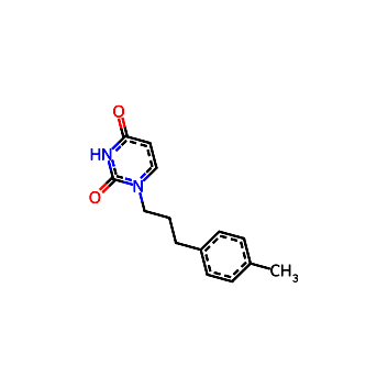 Cc1ccc(CCCn2ccc(=O)[nH]c2=O)cc1